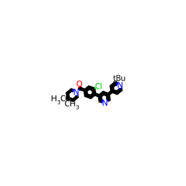 CC1(C)CCN(C(=O)c2ccc(-c3cncc(-c4ccnc(C(C)(C)C)c4)c3)c(Cl)c2)CC1